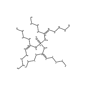 CCCC/C=C(/CCCC)OP(=O)(O/C(=C\CCCC)CCCC)O/C(=C\CCCC)CCCC